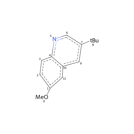 COc1ccc2ncc(C(C)(C)C)cc2c1